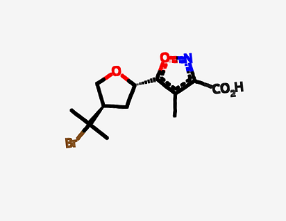 Cc1c(C(=O)O)noc1[C@@H]1C[C@@H](C(C)(C)Br)CO1